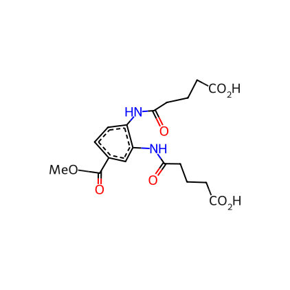 COC(=O)c1ccc(NC(=O)CCCC(=O)O)c(NC(=O)CCCC(=O)O)c1